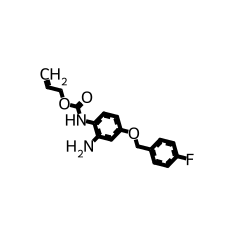 C=CCOC(=O)Nc1ccc(OCc2ccc(F)cc2)cc1N